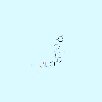 COC(=O)c1cc(F)c(C2CCN(Cc3cc4c(-c5ccc(NC(=O)OC(C)(C)C)nc5)ccnc4n3C)CC2)c(F)c1